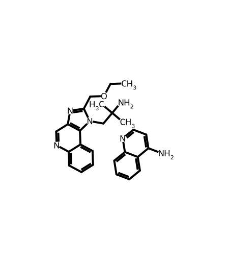 CCOCc1nc2cnc3ccccc3c2n1CC(C)(C)N.Nc1ccnc2ccccc12